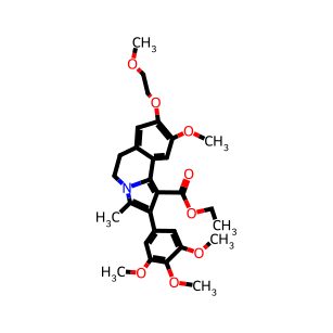 CCOC(=O)c1c(-c2cc(OC)c(OC)c(OC)c2)c(C)n2c1-c1cc(OC)c(OCCOC)cc1CC2